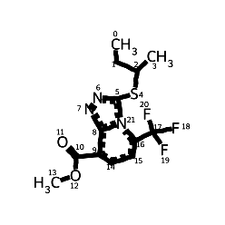 CCC(C)Sc1nnc2c(C(=O)OC)ccc(C(F)(F)F)n12